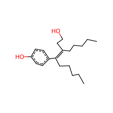 CCCCCC(CCO)=C(CCCCC)c1ccc(O)cc1